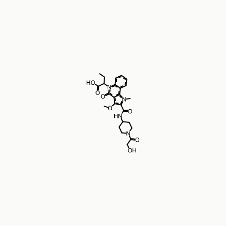 CCC(C(=O)O)n1c(=O)c2c(OC)c(C(=O)NC3CCN(C(=O)CO)CC3)n(C)c2c2ccccc21